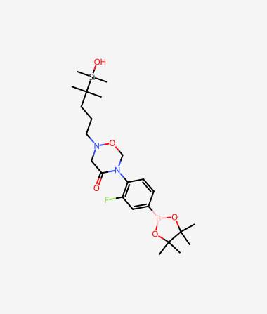 CC1(C)OB(c2ccc(N3CON(CCCC(C)(C)[Si](C)(C)O)CC3=O)c(F)c2)OC1(C)C